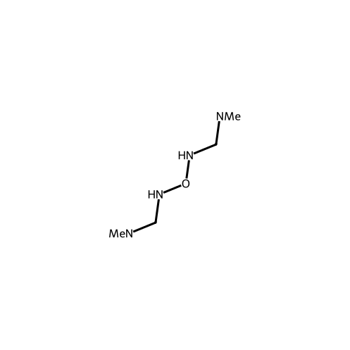 CNCNONCNC